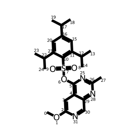 COc1cc2c(OS(=O)(=O)c3c(C(C)C)cc(C(C)C)cc3C(C)C)nc(C)nc2cn1